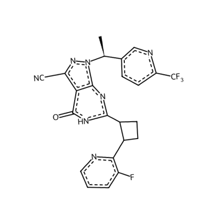 C[C@@H](c1ccc(C(F)(F)F)nc1)n1nc(C#N)c2c(=O)[nH]c(C3CCC3c3ncccc3F)nc21